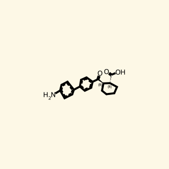 Nc1ccc(-c2ccc(C(=O)[C@@H]3CCCC[C@H]3C(=O)O)cc2)cc1